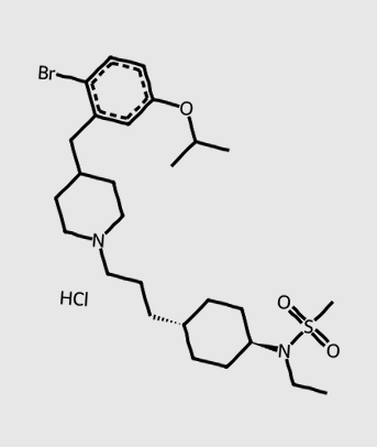 CCN([C@H]1CC[C@H](CCCN2CCC(Cc3cc(OC(C)C)ccc3Br)CC2)CC1)S(C)(=O)=O.Cl